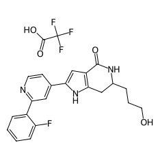 O=C(O)C(F)(F)F.O=C1NC(CCCO)Cc2[nH]c(-c3ccnc(-c4ccccc4F)c3)cc21